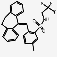 Cc1ccc(C=C2c3ccccc3CCc3ccccc32)c(S(=O)(=O)NCC(F)(F)F)c1